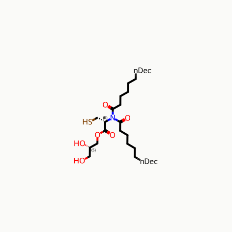 CCCCCCCCCCCCCCCC(=O)N(C(=O)CCCCCCCCCCCCCCC)[C@@H](CS)C(=O)OC[C@@H](O)CO